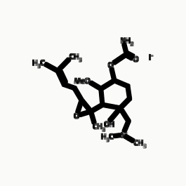 COC1C(OC(N)=O)CCC(O)(C[S+](C)C)C1C1(C)OC1CC=C(C)C.[I-]